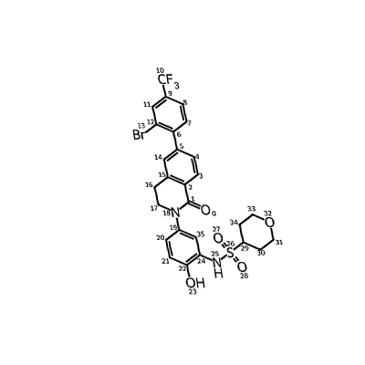 O=C1c2ccc(-c3ccc(C(F)(F)F)cc3Br)cc2CCN1c1ccc(O)c(NS(=O)(=O)C2CCOCC2)c1